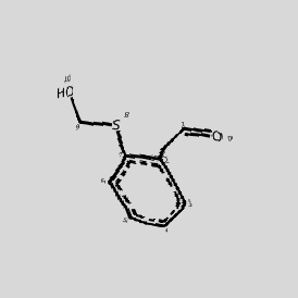 O=Cc1ccccc1SCO